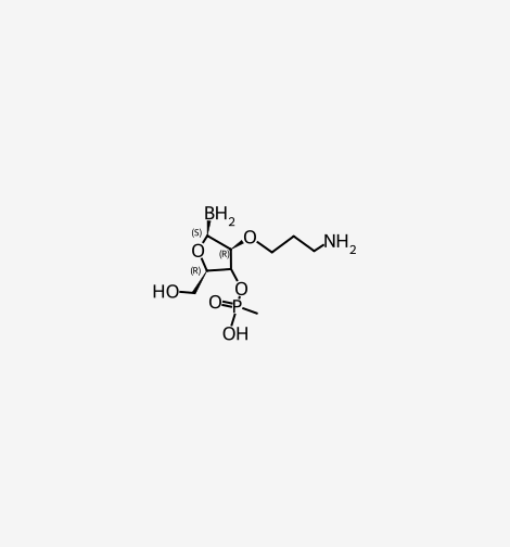 B[C@@H]1O[C@H](CO)C(OP(C)(=O)O)[C@@H]1OCCCN